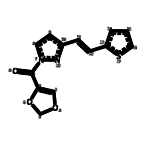 O=C(C1=COCO1)n1ccc(C=Cc2cccs2)n1